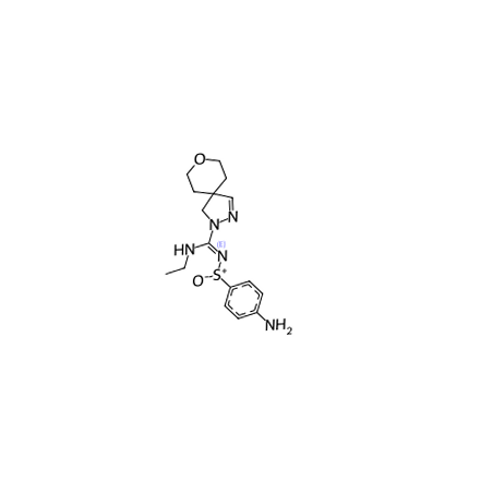 CCN/C(=N\[S+]([O-])c1ccc(N)cc1)N1CC2(C=N1)CCOCC2